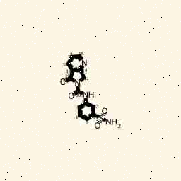 NS(=O)(=O)c1cccc(NC(=O)N2Cc3ncccc3C2=O)c1